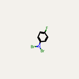 Fc1ccc(N(Br)Br)cc1